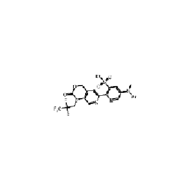 CCS(=O)(=O)c1cc(N(C)C(C)=O)cnc1-c1cc2c(cn1)N(CC(F)(F)C(F)(F)F)C(=O)OC2